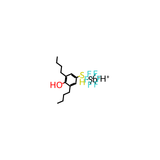 CCCCc1cc(S)cc(CCCC)c1O.[F][Sb-]([F])([F])([F])([F])[F].[H+]